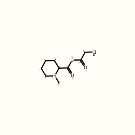 CN1CCCCC1C(=O)OC(=O)CCl